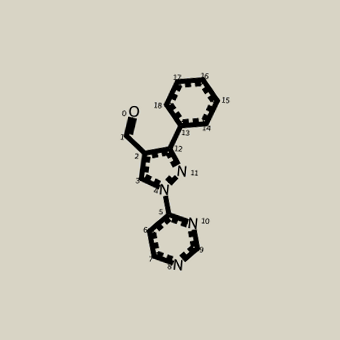 O=Cc1cn(-c2ccncn2)nc1-c1ccccc1